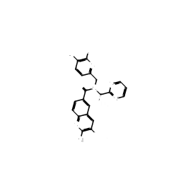 Cc1cc2cc(C(=O)N(Cc3ccc(Br)c(C)n3)[C@H](C)c3ncccn3)ccc2nc1N